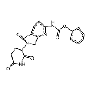 O=C1CCC(N2Cc3nc(NC(=O)Oc4ccccc4)ccc3C2=O)C(=O)N1